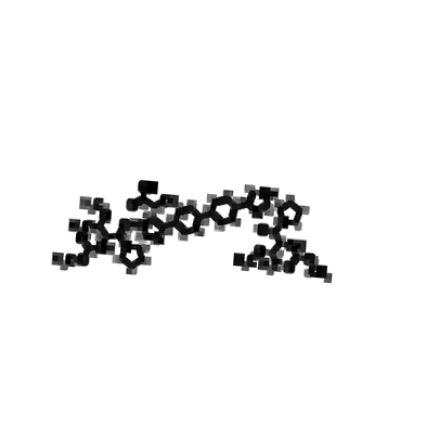 COC(=O)N[C@H](C(=O)N1CCC[C@H]1c1nc(-c2ccc(-c3ccc(-c4nc([C@@H]5CCCN5C(=O)[C@@H](NC(=O)OC)C(C)OC)[nH]c4C(C)C(=O)O)cc3)cc2)c[nH]1)C(C)OC